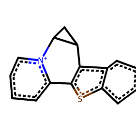 c1cc[n+]2c(c1)-c1sc3ccccc3c1C1CC12